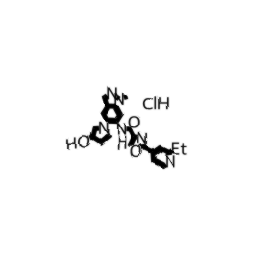 CCc1cc(-c2nc(C(=O)Nc3cc4c(cnn4C)cc3N3CCC(O)C3)co2)ccn1.Cl